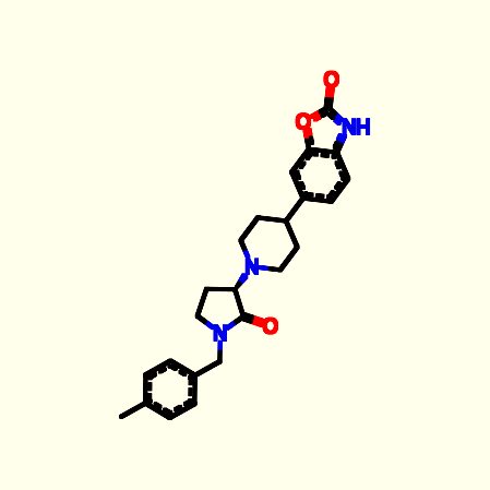 Cc1ccc(CN2CC[C@@H](N3CCC(c4ccc5[nH]c(=O)oc5c4)CC3)C2=O)cc1